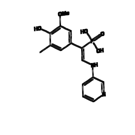 COc1cc(C(=CNc2cccnc2)P(=O)(O)O)cc(C)c1O